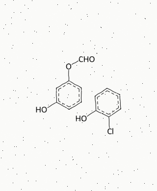 O=COc1cccc(O)c1.Oc1ccccc1Cl